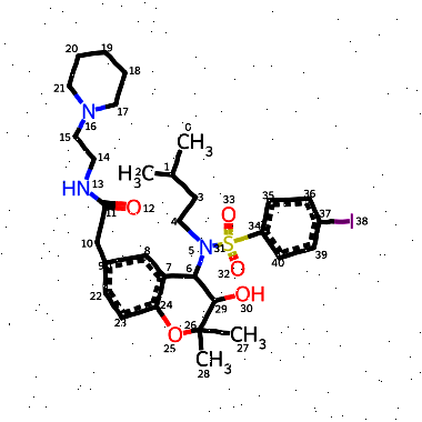 CC(C)CCN(C1c2cc(CC(=O)NCCN3CCCCC3)ccc2OC(C)(C)C1O)S(=O)(=O)c1ccc(I)cc1